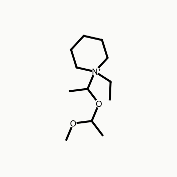 CC[N+]1(C(C)OC(C)OC)CCCCC1